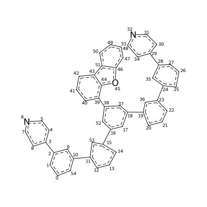 c1cc(-c2ccncc2)cc(-c2cccc(-c3cc(-c4cccc(-c5cccc(-c6ccncc6)c5)c4)cc(-c4cccc5c4oc4ccccc45)c3)c2)c1